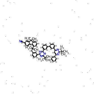 CC(C)(C)c1nc(-c2ccccc2)cc(-c2cccc(-c3cccc(-c4nc(-c5cccc(CC(C)(C)c6cccc7c6-c6ccc(C#N)cc6C7(C)C)c5)nc(C(C)(C)C)n4)c3)c2)n1